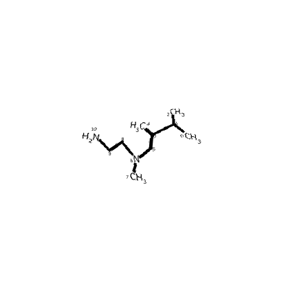 CC(C)C(C)CN(C)CCN